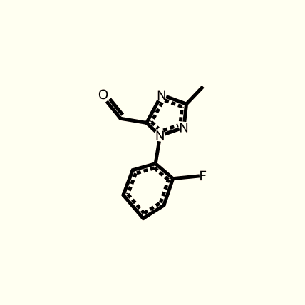 Cc1nc(C=O)n(-c2ccccc2F)n1